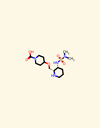 CN(C)S(=O)(=O)N[C@@H]1CCCN[C@@H]1COC1CCN(C(=O)O)CC1